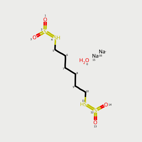 O.O=S(=O)=[SH]CCCCCC[SH]=S(=O)=O.[Na].[Na]